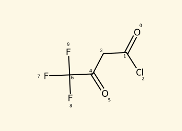 O=C(Cl)CC(=O)C(F)(F)F